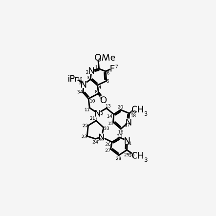 COc1nc2c(cc1F)c(=O)c(CN(Cc1ccnc(C)c1)[C@H]1CCCN(c3ccc(C)nc3)C1)cn2C(C)C